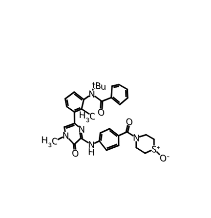 Cc1c(-c2cn(C)c(=O)c(Nc3ccc(C(=O)N4CC[S+]([O-])CC4)cc3)n2)cccc1N(C(=O)c1ccccc1)C(C)(C)C